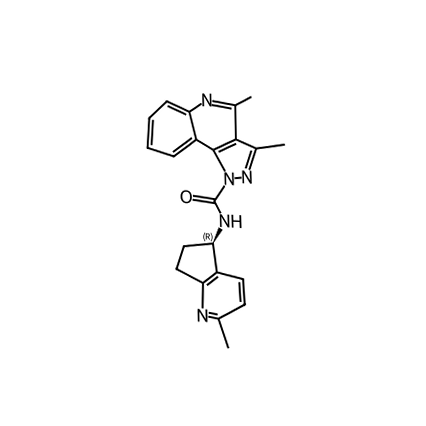 Cc1ccc2c(n1)CC[C@H]2NC(=O)n1nc(C)c2c(C)nc3ccccc3c21